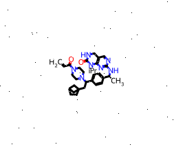 C=CC(=O)N1CCN(C(CC23CCC(C2)C3)c2ccc([C@H](C)Nc3ncc4c(n3)N(C(C)C)C(=O)NC4)cc2)CC1